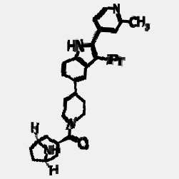 Cc1cc(-c2[nH]c3ccc(C4CCN(C(=O)[C@H]5C[C@H]6CC[C@@H](C5)N6)CC4)cc3c2C(C)C)ccn1